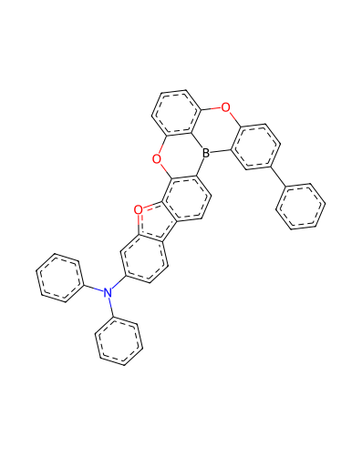 c1ccc(-c2ccc3c(c2)B2c4ccc5c(oc6cc(N(c7ccccc7)c7ccccc7)ccc65)c4Oc4cccc(c42)O3)cc1